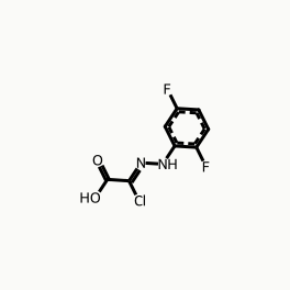 O=C(O)C(Cl)=NNc1cc(F)ccc1F